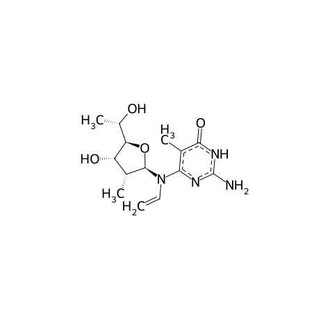 C=CN(c1nc(N)[nH]c(=O)c1C)[C@@H]1O[C@H]([C@H](C)O)[C@@H](O)[C@H]1C